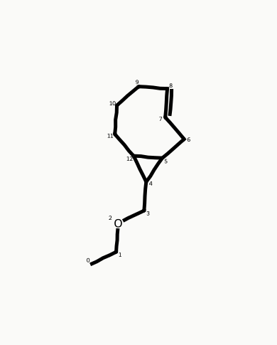 CCOCC1C2C/C=C/CCCC21